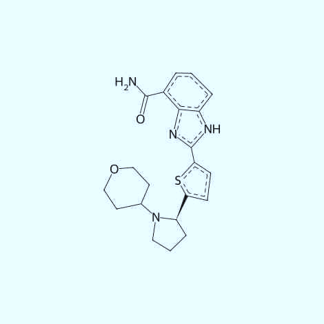 NC(=O)c1cccc2[nH]c(-c3ccc([C@H]4CCCN4C4CCOCC4)s3)nc12